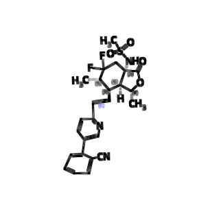 C[C@H]1OC(=O)[C@]2(NS(C)(=O)=O)CC(F)(F)[C@@H](C)[C@H](/C=C/c3ccc(-c4ccccc4C#N)cn3)[C@H]12